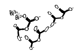 O=C([O-])OC(=O)[O-].O=C([O-])OC(=O)[O-].O=C([O-])OC(=O)[O-].[Bi+3].[Bi+3]